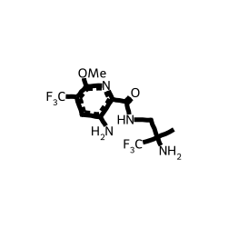 COc1nc(C(=O)NCC(C)(N)C(F)(F)F)c(N)cc1C(F)(F)F